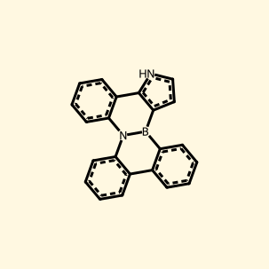 c1ccc2c(c1)B1c3cc[nH]c3-c3ccccc3N1c1ccccc1-2